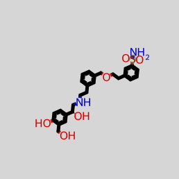 NS(=O)(=O)c1cccc(CCOCc2cccc(CCNC[C@H](O)c3ccc(O)c(CO)c3)c2)c1